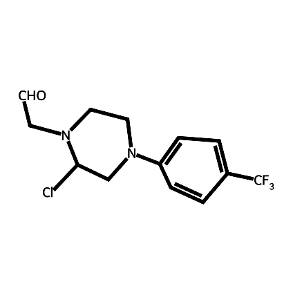 O=CCN1CCN(c2ccc(C(F)(F)F)cc2)CC1Cl